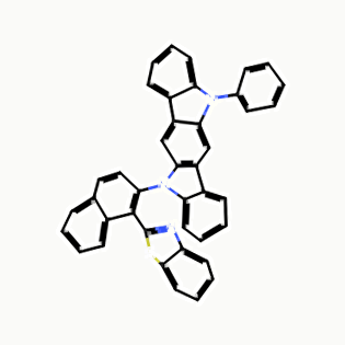 c1ccc(-n2c3ccccc3c3cc4c(cc32)c2ccccc2n4-c2ccc3ccccc3c2-c2nc3ccccc3s2)cc1